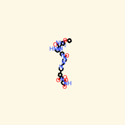 NC(=O)c1c(-c2ccc(Oc3ccccc3)cc2)nn2c1NCC[C@H]2C1CCN(C(=O)N2CCN(CCN3CCC(c4ccc5c(c4)C(=O)N(C4CCC(=O)NC4=O)C5=O)CC3)CC2)CC1